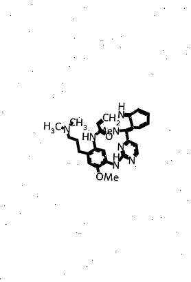 C=CC(=O)Nc1cc(Nc2nccc(/C(NC)=C3\C=CC=CC3=N)n2)c(OC)cc1CCCN(C)C